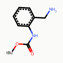 CC(C)(C)OC(=O)Nc1ccccc1CN